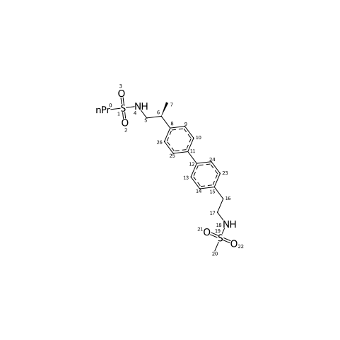 CCCS(=O)(=O)NC[C@@H](C)c1ccc(-c2ccc(CCNS(C)(=O)=O)cc2)cc1